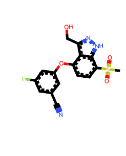 CS(=O)(=O)c1ccc(Oc2cc(F)cc(C#N)c2)c2c(CO)n[nH]c12